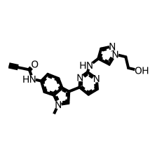 C#CC(=O)Nc1ccc2c(-c3ccnc(Nc4cnn(CCO)c4)n3)cn(C)c2c1